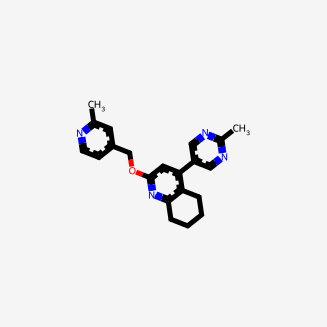 Cc1cc(COc2cc(-c3cnc(C)nc3)c3c(n2)CCCC3)ccn1